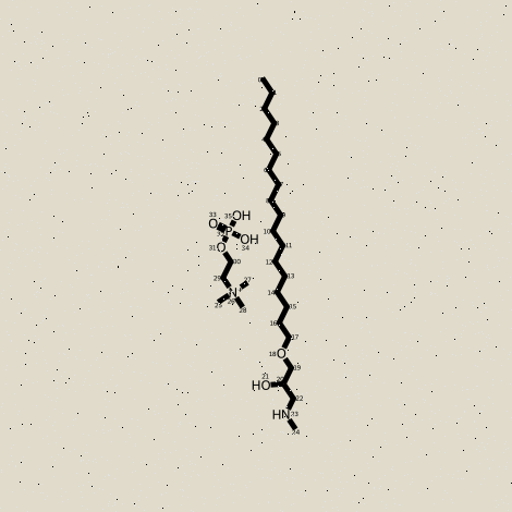 CCCCCCCCCCCCCCCCCCOCC(O)CNC.C[N+](C)(C)CCOP(=O)(O)O